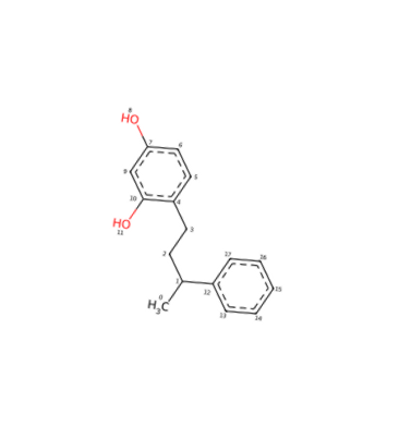 CC(CCc1ccc(O)cc1O)c1ccccc1